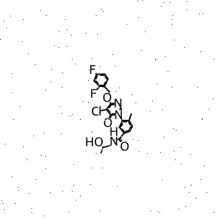 Cc1ccc(C(=O)NC[C@@H](C)O)cc1-n1cnc(OCc2ccc(F)cc2F)c(Cl)c1=O